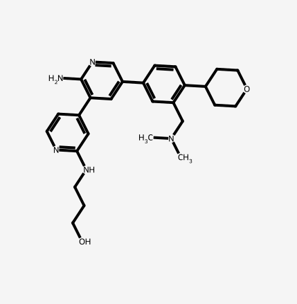 CN(C)Cc1cc(-c2cnc(N)c(-c3ccnc(NCCCO)c3)c2)ccc1C1CCOCC1